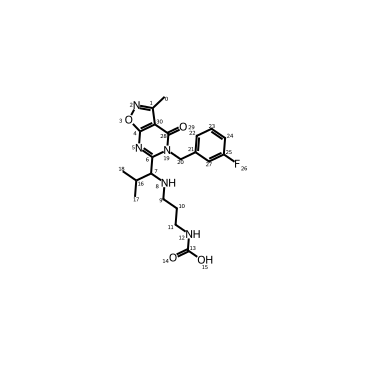 Cc1noc2nc(C(NCCCNC(=O)O)C(C)C)n(Cc3cccc(F)c3)c(=O)c12